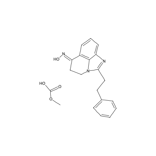 COC(=O)O.ON=C1CCn2c(CCc3ccccc3)nc3cccc1c32